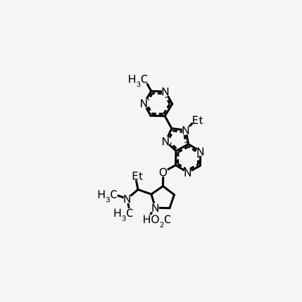 CCC(C1C(Oc2ncnc3c2nc(-c2cnc(C)nc2)n3CC)CCN1C(=O)O)N(C)C